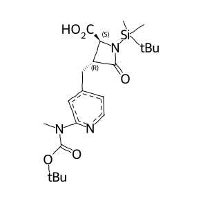 CN(C(=O)OC(C)(C)C)c1cc(C[C@H]2C(=O)N([Si](C)(C)C(C)(C)C)[C@@H]2C(=O)O)ccn1